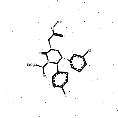 CCOC(=O)[C@H](CC)N1C(=O)[C@@H](CC(=O)OC(C)(C)C)C[C@H](c2cccc(Cl)c2)[C@H]1c1ccc(Cl)cc1